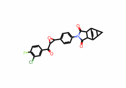 O=C(c1ccc(F)c(Cl)c1)C1OC1c1ccc(N2C(=O)C3C4C=CC(C5CC45)C3C2=O)cc1